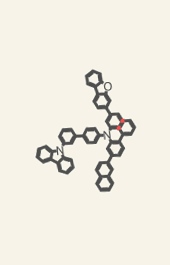 c1ccc(-c2ccc(-c3ccc4ccccc4c3)cc2N(c2ccc(-c3cccc(-n4c5ccccc5c5ccccc54)c3)cc2)c2cccc(-c3ccc4c(c3)oc3ccccc34)c2)cc1